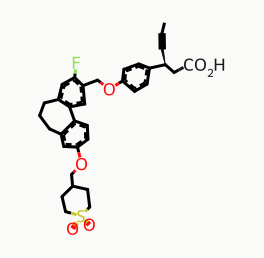 CC#C[C@@H](CC(=O)O)c1ccc(OCc2cc3c(cc2F)CCCc2cc(OCC4CCS(=O)(=O)CC4)ccc2-3)cc1